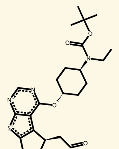 CCN(C(=O)OC(C)(C)C)[C@H]1CC[C@H](Oc2ncnc3sc4c(c23)[C@@H](CC=O)CC4)CC1